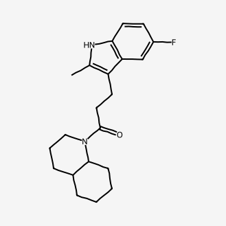 Cc1[nH]c2ccc(F)cc2c1CCC(=O)N1CCCC2CCCCC21